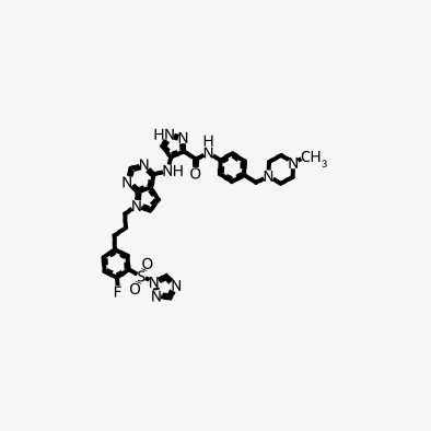 CN1CCN(Cc2ccc(NC(=O)c3n[nH]cc3Nc3ncnc4c3ccn4CCCc3ccc(F)c(S(=O)(=O)n4cncn4)c3)cc2)CC1